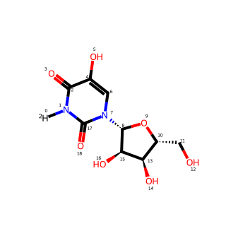 [2H]n1c(=O)c(O)cn([C@@H]2O[C@H](CO)[C@@H](O)[C@H]2O)c1=O